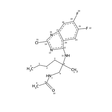 CCCCC(C)(CNC(C)=O)Nc1nc(Cl)nc2cc(F)c(F)cc12